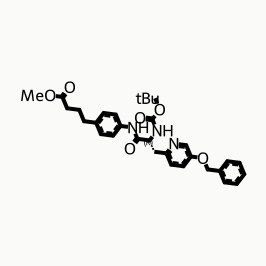 COC(=O)CCCc1ccc(NC(=O)[C@@H](Cc2ccc(OCc3ccccc3)cn2)NC(=O)OC(C)(C)C)cc1